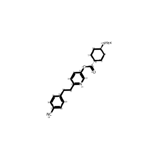 CCCCCC[C@H]1CC[C@H](C(=O)Oc2ccc(CCc3ccc(C#N)cc3)nc2)CC1